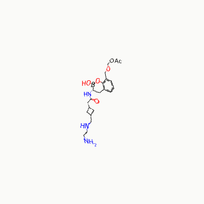 CC(=O)OCOCc1cccc2c1OB(O)[C@@H](NC(=O)CC1CC(CNCCN)C1)C2